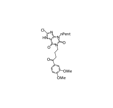 CCCCCn1c(=O)n(CCCC(=O)c2ccc(OC)c(OC)c2)c(=O)c2[nH]c(Cl)nc21